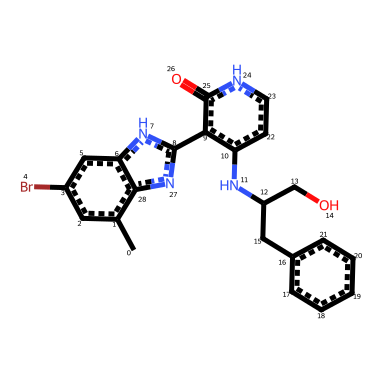 Cc1cc(Br)cc2[nH]c(-c3c(NC(CO)Cc4ccccc4)cc[nH]c3=O)nc12